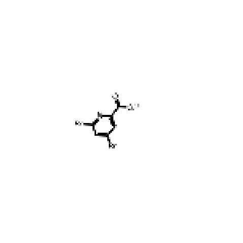 O=C(O)c1cc(Br)cc(Br)n1